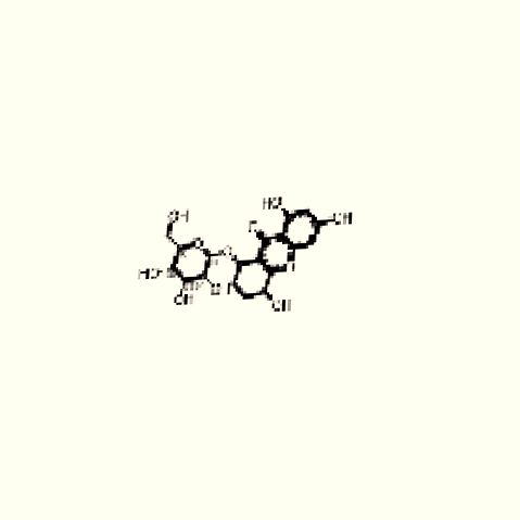 O=c1c2c(oc3cc(O)cc(O)c13)C(O)CCC2O[C@@H]1O[C@H](CO)[C@@H](O)[C@H](O)[C@H]1O